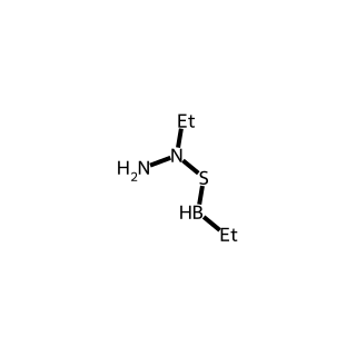 CCBSN(N)CC